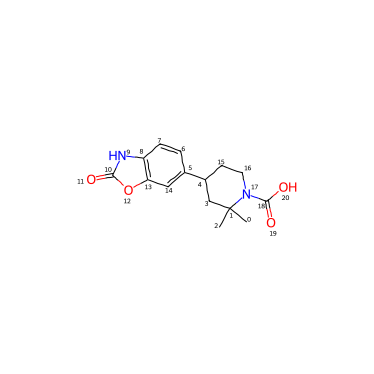 CC1(C)CC(c2ccc3[nH]c(=O)oc3c2)CCN1C(=O)O